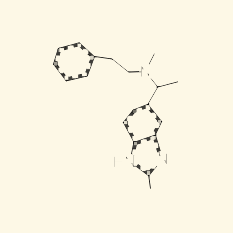 Cc1nc2cc(C(C)N(C)CCc3ccccc3)ccc2[nH]1